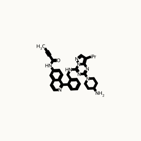 CC#CC(=O)Nc1ccc2c(-c3ccccc3CNc3nc(N4CCC(N)CC4)nc4c(C(C)C)cnn34)nccc2c1